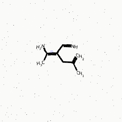 C=C(C)C/C(C=N)=C(\C)N